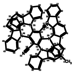 Cc1ccc2c(c1)c1ccc3c4ccccc4oc3c1n2-c1c(C#N)c(-n2c3ccccc3c3ccccc32)c(-n2c3ccccc3c3ccccc32)c(C#N)c1-n1c2ccccc2c2ccccc21